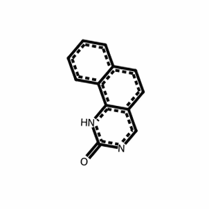 O=c1ncc2ccc3ccccc3c2[nH]1